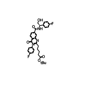 CC(C)(C)OC(=O)CCCCc1nc2cc(C(=O)N[C@@H](CO)c3ccc(F)cc3)ccc2c(=O)n1-c1ccc(F)cc1